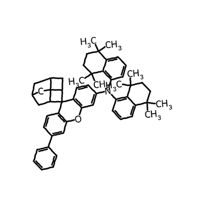 CC1(C)CCC(C)(C)c2c(N(c3ccc4c(c3)Oc3cc(-c5ccccc5)ccc3C43C4CC5CC6CC3C64C5)c3cccc4c3C(C)(C)CCC4(C)C)cccc21